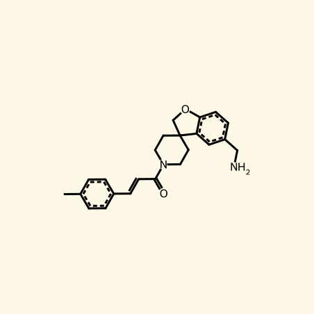 Cc1ccc(C=CC(=O)N2CCC3(CC2)COc2ccc(CN)cc23)cc1